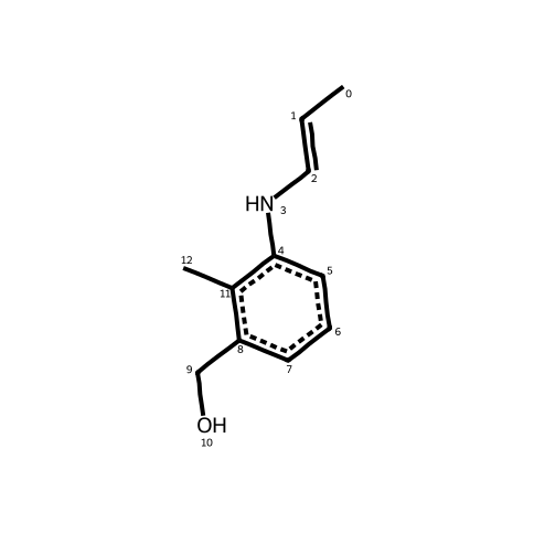 CC=CNc1cccc(CO)c1C